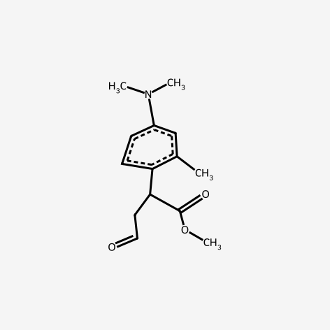 COC(=O)C(CC=O)c1ccc(N(C)C)cc1C